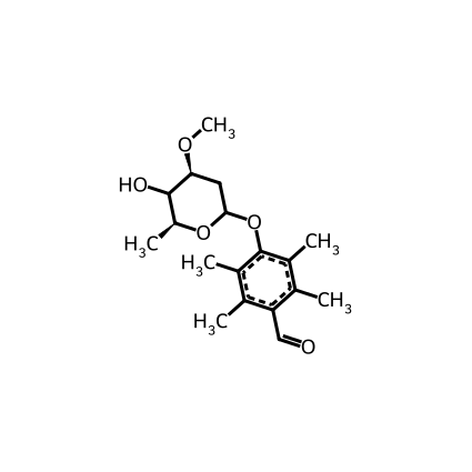 CO[C@H]1CC(Oc2c(C)c(C)c(C=O)c(C)c2C)O[C@@H](C)C1O